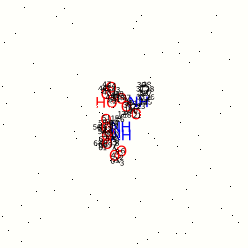 CC(C)(C)OC(=O)CC[C@H](NC(=O)N[C@@H](CCCCCC(=O)C(Cc1ccc2ccccc2c1)NC(=O)COCC1(CO)COC(C)(C)OC1)C(=O)OC(C)(C)C)C(=O)OC(C)(C)C